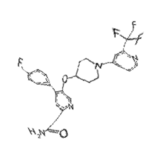 NC(=O)c1cc(-c2ccc(F)cc2)c(OC2CCN(c3ccnc(C(F)(F)F)c3)CC2)cn1